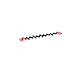 OCCCCCCCCC=CCCCCCCCCCCOO